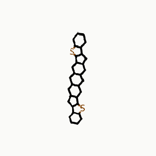 C1CCC2C(C1)SC1C3CC4CC5CC6CC7C8CCCCC8SC7C6CC5CC4CC3CC21